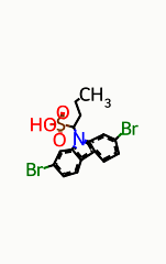 CCCC(n1c2cc(Br)ccc2c2ccc(Br)cc21)S(=O)(=O)O